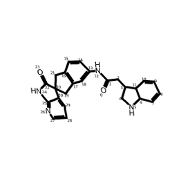 O=C(CC1CNC2C=CC=CC12)Nc1ccc2c(c1)CC1(C2)C(=O)Nc2ncccc21